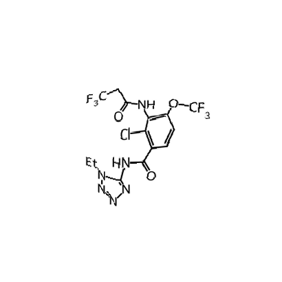 CCn1nnnc1NC(=O)c1ccc(OC(F)(F)F)c(NC(=O)CC(F)(F)F)c1Cl